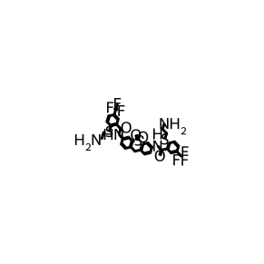 NCCSc1ccc(C(F)(F)F)cc1C(=O)Nc1ccc2c(c1)S(=O)(=O)c1cc(NC(=O)c3cc(C(F)(F)F)ccc3SCCN)ccc1C2